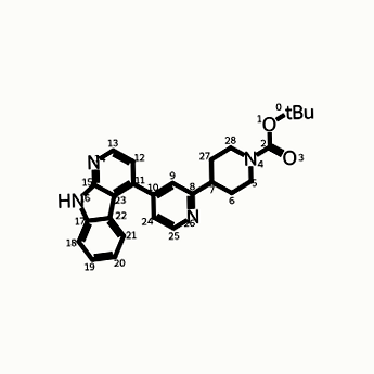 CC(C)(C)OC(=O)N1CCC(c2cc(-c3ccnc4[nH]c5ccccc5c34)ccn2)CC1